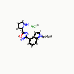 CCCCCCCCCn1ccc2c(-c3noc(C4CCCN4)n3)cccc21.Cl